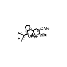 CC[C@H](C)[C@H](C)[C@@H](CC(=O)N1CCC[C@H]1[C@H](OC)[C@@H](C)C(C)=O)OC